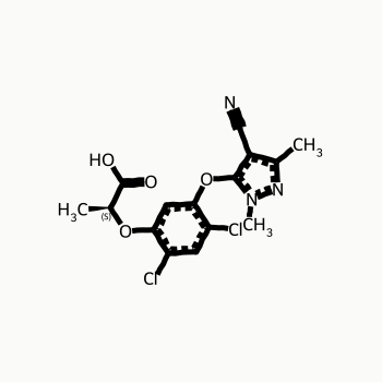 Cc1nn(C)c(Oc2cc(O[C@@H](C)C(=O)O)c(Cl)cc2Cl)c1C#N